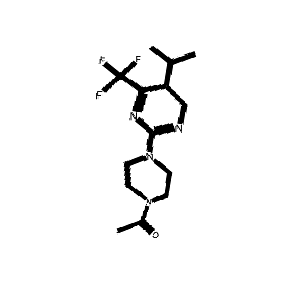 CC(=O)N1CCN(C2=NCC(C(C)C)C(C(F)(F)F)=N2)CC1